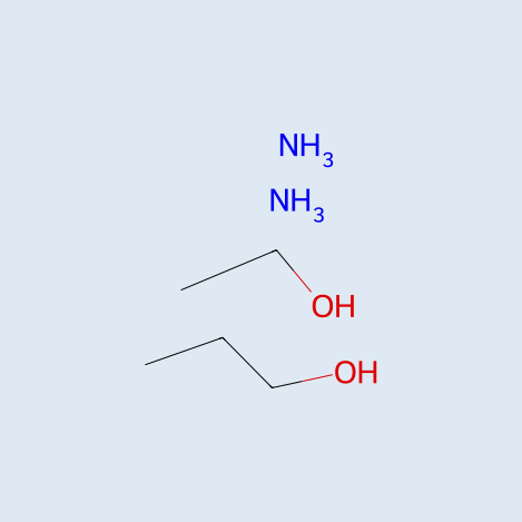 CCCO.CCO.N.N